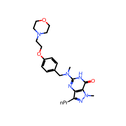 CCCc1nn(C)c2c(=O)[nH]c(N(C)Cc3ccc(OCCN4CCOCC4)cc3)nc12